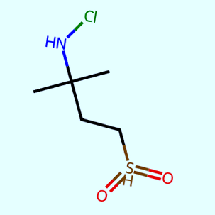 CC(C)(CC[SH](=O)=O)NCl